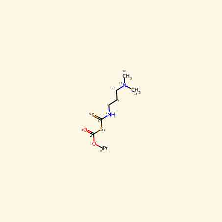 CC(C)OC(=O)SC(=S)NCCCN(C)C